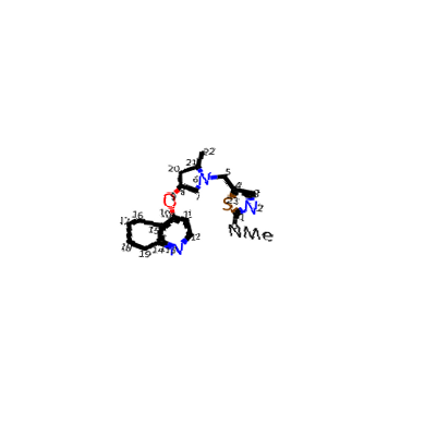 CNc1ncc(CN2CC(Oc3ccnc4c3CCCC4)CC2C)s1